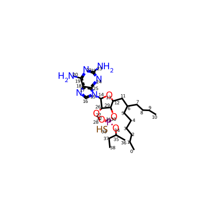 CCCCCCC(CCCC)CC1OC(n2cnc3c(N)nc(N)nc32)C(OC)C1OP(=O)(S)OC(C)CC